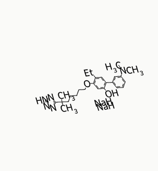 CCc1cc(-c2cccc(N(C)C)c2)c(O)cc1OCCCCCC(C)(C)c1nn[nH]n1.[NaH].[NaH]